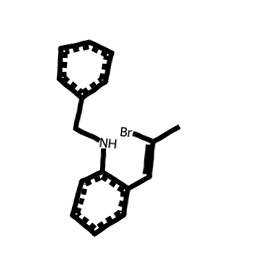 C/C(Br)=C/c1ccccc1NCc1ccccc1